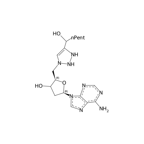 CCCCCC(O)C1=CN(C[C@H]2O[C@@H](n3cnc4c(N)ncnc43)CC2O)NN1